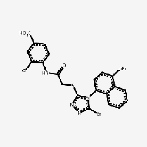 CCCc1ccc(-n2c(Br)nnc2SCC(=O)Nc2ccc(C(=O)O)cc2Cl)c2ccccc12